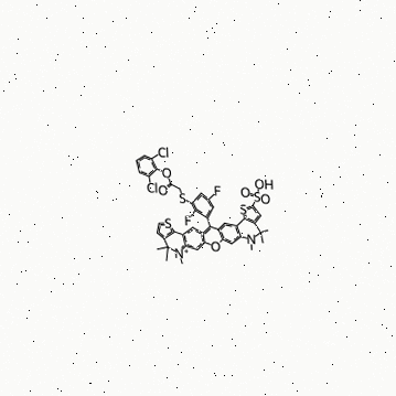 CN1c2cc3c(cc2-c2sc(S(=O)(=O)O)cc2C1(C)C)C(c1cc(F)cc(SCC(=O)Oc2c(Cl)cccc2Cl)c1F)=c1cc2c(cc1O3)=[N+](C)C(C)(C)c1ccsc1-2